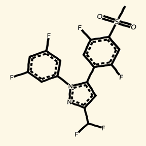 CS(=O)(=O)c1cc(F)c(-c2cc(C(F)F)nn2-c2cc(F)cc(F)c2)cc1F